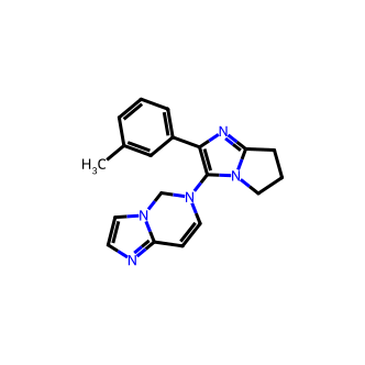 Cc1cccc(-c2nc3n(c2N2C=Cc4nccn4C2)CCC3)c1